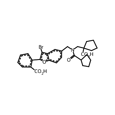 O=C(O)c1ccccc1-c1oc2ccc(CN(CC3(C(=O)O)CCCC3)C(=O)C3CCCC3)cc2c1Br